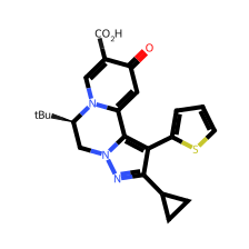 CC(C)(C)[C@@H]1Cn2nc(C3CC3)c(-c3cccs3)c2-c2cc(=O)c(C(=O)O)cn21